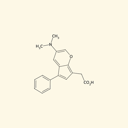 CN(C)c1coc2c(CC(=O)O)cc(-c3ccccc3)c-2c1